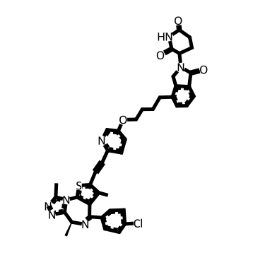 Cc1c(C#Cc2ccc(OCCCCc3cccc4c3CN(C3CCC(=O)NC3=O)C4=O)cn2)sc2c1C(c1ccc(Cl)cc1)=N[C@@H](C)c1nnc(C)n1-2